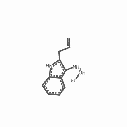 C=CCc1[nH]c2ccccc2c1N.CCO